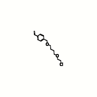 C=Cc1ccc(COCCCCOCCCl)cc1